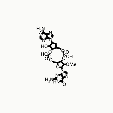 COC1C2OP(=O)(O)OCC3CC(n4cnc5c(N)ncnc54)C(O)C3OP(=O)(O)OCC2OC1n1cnc2c(=O)[nH]c(N)nc21